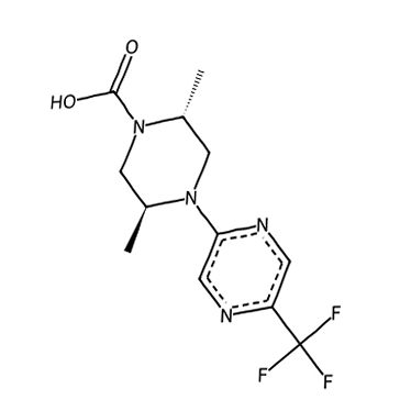 C[C@@H]1CN(c2cnc(C(F)(F)F)cn2)[C@@H](C)CN1C(=O)O